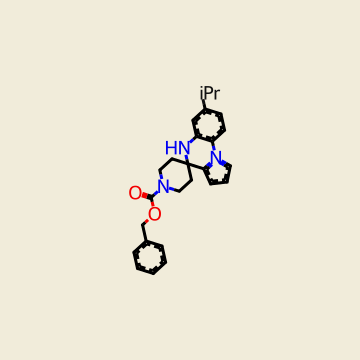 CC(C)c1ccc2c(c1)NC1(CCN(C(=O)OCc3ccccc3)CC1)c1cccn1-2